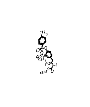 COC.Cc1ccc(S(=O)(=O)Oc2ccc(CC(O)NC(=O)OC(C)(C)C)cc2)cc1